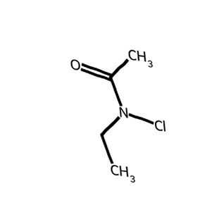 CCN(Cl)C(C)=O